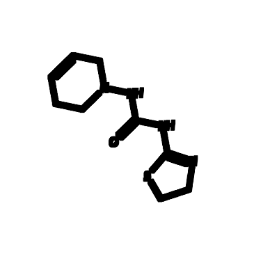 O=C(NC1=NCCS1)NN1CC=CCC1